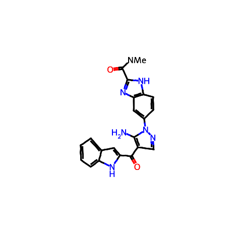 CNC(=O)c1nc2cc(-n3ncc(C(=O)c4cc5ccccc5[nH]4)c3N)ccc2[nH]1